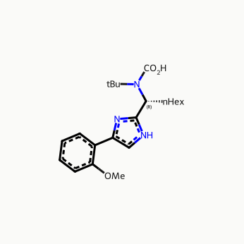 CCCCCC[C@H](c1nc(-c2ccccc2OC)c[nH]1)N(C(=O)O)C(C)(C)C